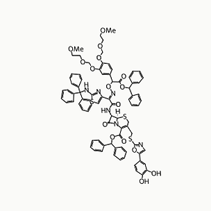 COCCOCOc1ccc(C(O/N=C(/C(=O)N[C@@H]2C(=O)N3C(C(=O)OC(c4ccccc4)c4ccccc4)=C(CSc4ncc(-c5ccc(O)c(O)c5)o4)CS[C@H]23)c2csc(NC(c3ccccc3)(c3ccccc3)c3ccccc3)n2)C(=O)OC(c2ccccc2)c2ccccc2)cc1OCOCCOC